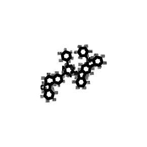 c1ccc(-c2nc(-c3ccc4c(ccc5oc6ccccc6c54)c3)nc(-n3c4ccccc4c4cc5c6ccccc6n(-c6ccccc6)c5cc43)n2)cc1